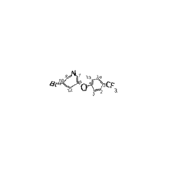 FC(F)(F)c1ccc(Oc2cncc(Br)c2)cc1